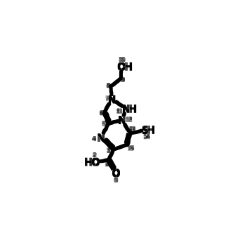 O=C(O)C1=NC2=CN(CCO)NN2C(S)=C1